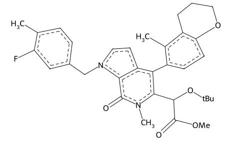 COC(=O)C(OC(C)(C)C)c1c(-c2ccc3c(c2C)CCCO3)c2ccn(Cc3ccc(C)c(F)c3)c2c(=O)n1C